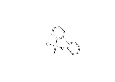 S=P(Cl)(Cl)c1ccccc1-c1ccccc1